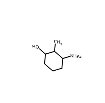 CC(=O)NC1CCCC(O)C1C